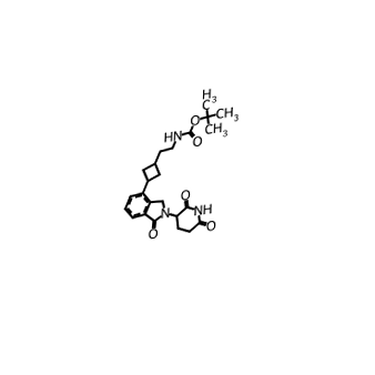 CC(C)(C)OC(=O)NCCC1CC(c2cccc3c2CN(C2CCC(=O)NC2=O)C3=O)C1